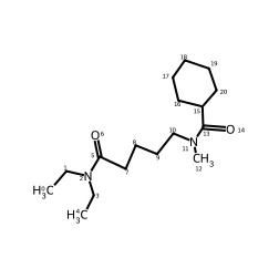 CCN(CC)C(=O)CCCCN(C)C(=O)C1CCCCC1